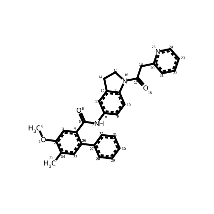 COc1cc(C(=O)Nc2ccc3c(c2)CCN3C(=O)Cc2ccccn2)c(-c2ccccc2)cc1C